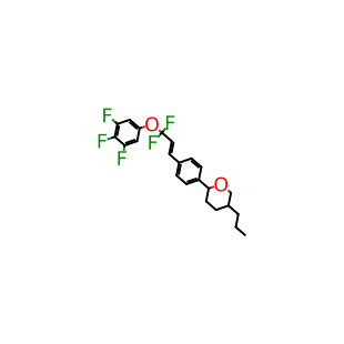 CCCC1CCC(c2ccc(/C=C/C(F)(F)Oc3cc(F)c(F)c(F)c3)cc2)OC1